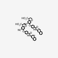 N#Cc1cc2c(cc1Oc1ccc(C(=O)Nc3cc4ccccc4cn3)cc1)OCCC2C(=O)O.N#Cc1cc2c(cc1Oc1ccc(C(=O)Nc3cnc4ccccc4c3)cc1)OCCC2C(=O)O